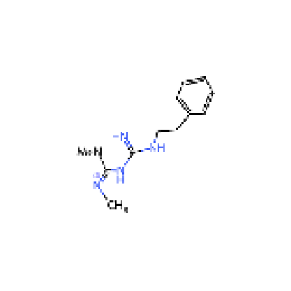 C/N=C(/NC)NC(=N)NCCc1ccccc1